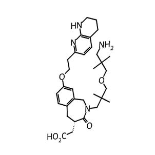 CC(C)(CN)COCC(C)(C)CN1Cc2cc(OCCc3ccc4c(n3)NCCC4)ccc2C[C@@H](CC(=O)O)C1=O